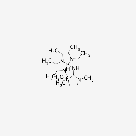 CCN(CC)[PH](NC1N(C)CCN1C)(N(CC)CC)N(CC)CC